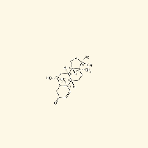 CC(=O)[C@@]1(O)CC[C@H]2[C@@H]3C[C@@H](O)C4CC(=O)C=C[C@]4(C)[C@H]3CC[C@@]21C